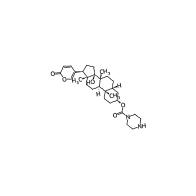 C[C@]12CC[C@H](OC(=O)N3CCNCC3)C[C@H]1CC[C@]1(C)[C@@H]2CC[C@]2(C)[C@@H](c3ccc(=O)oc3)CC[C@@]21O